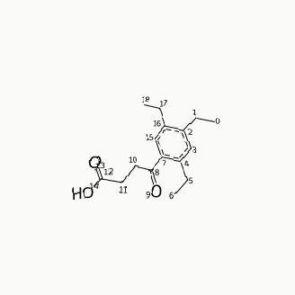 CCc1cc(CC)c(C(=O)CCC(=O)O)cc1CC